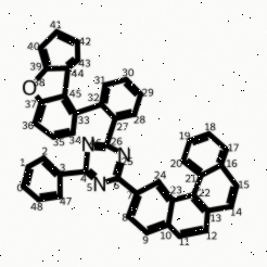 c1ccc(-c2nc(-c3ccc4ccc5ccc6ccccc6c5c4c3)nc(-c3ccccc3-c3cccc4oc5ccccc5c34)n2)cc1